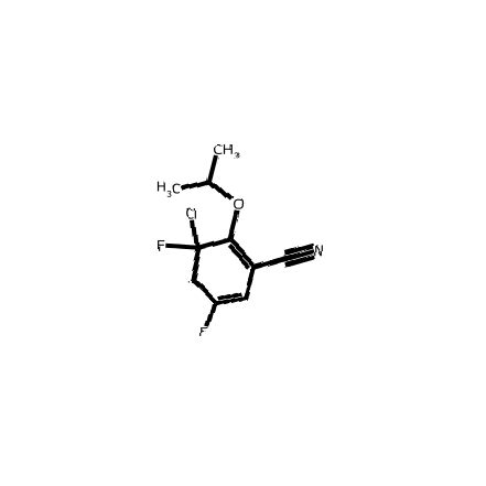 CC(C)OC1=C(C#N)C=C(F)[CH]C1(F)Cl